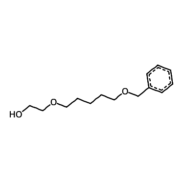 OCCOCCCCCOCc1ccccc1